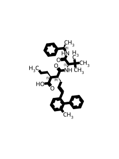 CCC[C@H](C(=O)O)[C@@H](CC=Cc1cccc(C)c1-c1ccccc1)C(=O)N[C@H](C(=O)N[C@H](C)c1ccccc1)C(C)(C)C